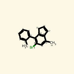 Cc1ccccc1-c1c(Br)cc(C)c2c1CC=C2